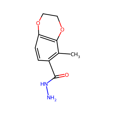 Cc1c(C(=O)NN)ccc2c1OCCO2